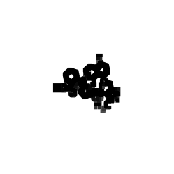 Cn1nnc(COc2ccc(F)c3c2[C@@H](CN2CCCC2=O)N(C(=O)[C@@H]2CCCC[C@]2(C)C(=O)O)CC3)c1C(F)(F)F